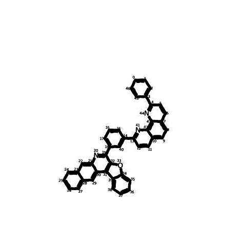 c1ccc(-c2ccc3ccc4ccc(-c5cccc(-c6nc7cc8ccccc8cc7c7c6oc6ccccc67)c5)nc4c3n2)cc1